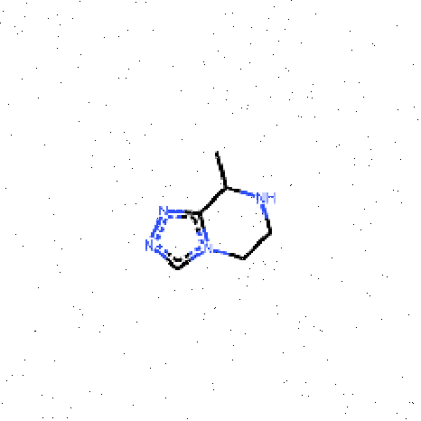 CC1NCCn2cnnc21